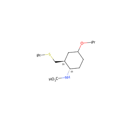 CC(C)OC1CC[C@H](NC(=O)O)[C@@H](CSC(C)C)C1